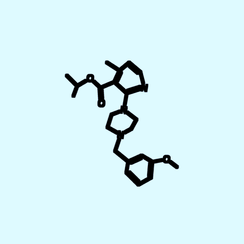 COc1cccc(CN2CCN(c3nccc(C)c3C(=O)OC(C)C)CC2)c1